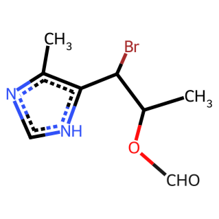 Cc1nc[nH]c1C(Br)C(C)OC=O